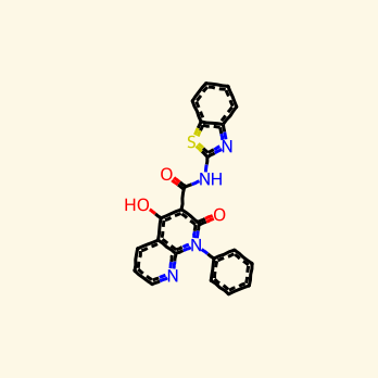 O=C(Nc1nc2ccccc2s1)c1c(O)c2cccnc2n(-c2ccccc2)c1=O